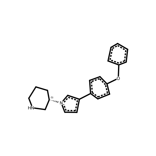 c1ccc(Oc2ccc(-c3ccn([C@H]4CCCNC4)c3)cc2)cc1